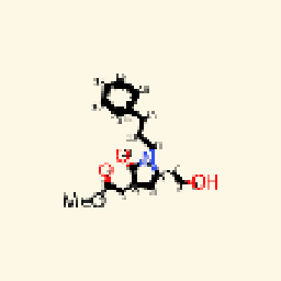 COC(=O)C[C@@H]1C[C@@H](CCO)N(CCCc2ccccc2)C1=O